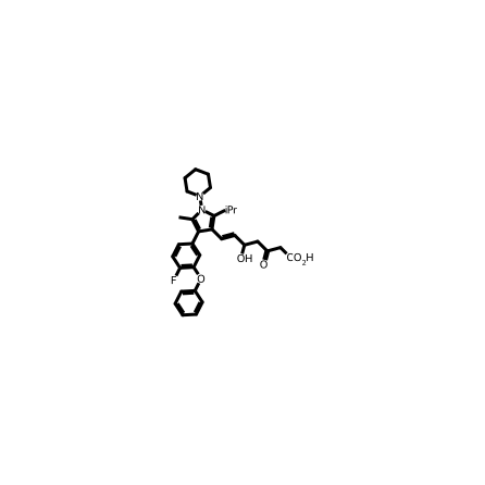 Cc1c(-c2ccc(F)c(Oc3ccccc3)c2)c(/C=C/C(O)CC(=O)CC(=O)O)c(C(C)C)n1N1CCCCC1